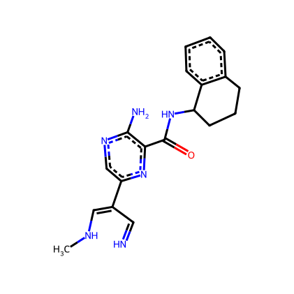 CN/C=C(\C=N)c1cnc(N)c(C(=O)NC2CCCc3ccccc32)n1